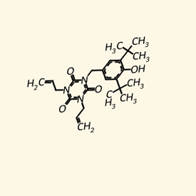 C=CCn1c(=O)n(CC=C)c(=O)n(Cc2cc(C(C)(C)C)c(O)c(C(C)(C)C)c2)c1=O